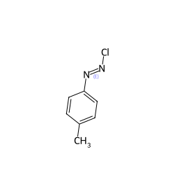 Cc1ccc(/N=N/Cl)cc1